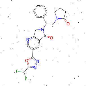 O=C1CCCN1CC(c1ccccc1)N1Cc2ncc(-c3nnc(C(F)F)o3)cc2C1=O